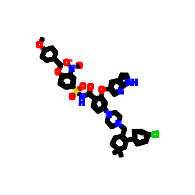 COC1CCC(COc2ccc(S(=O)(=O)NC(=O)c3ccc(N4CCN(CC5=C(c6ccc(Cl)cc6)CC(C)(C)CC5)CC4)cc3Oc3cnc4[nH]ccc4c3)cc2[N+](=O)[O-])CC1